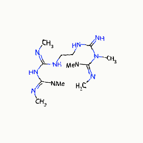 C/N=C(\NC)N/C(=N/C)NCCNC(=N)N(C)/C(=N/C)NC